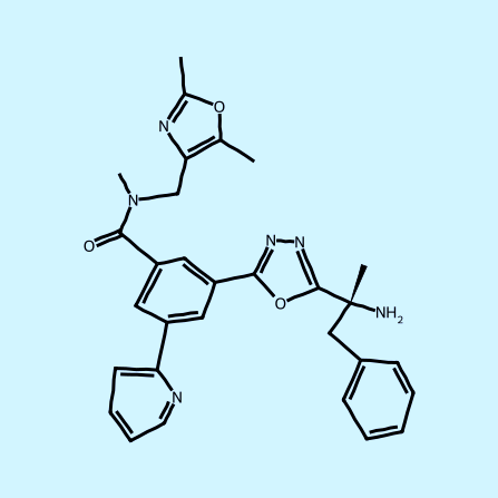 Cc1nc(CN(C)C(=O)c2cc(-c3ccccn3)cc(-c3nnc([C@](C)(N)Cc4ccccc4)o3)c2)c(C)o1